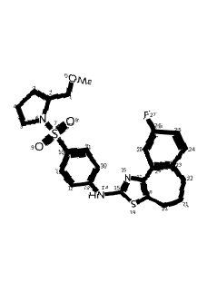 COCC1CCCN1S(=O)(=O)c1ccc(Nc2nc3c(s2)CCCc2ccc(F)cc2-3)cc1